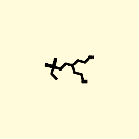 CCS(=O)(=O)SCN(CCO)CCO